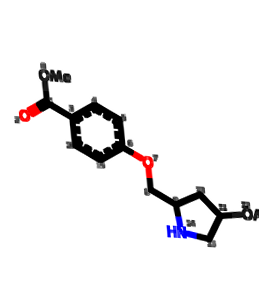 COC(=O)c1ccc(OCC2CC(OC(C)=O)CN2)cc1